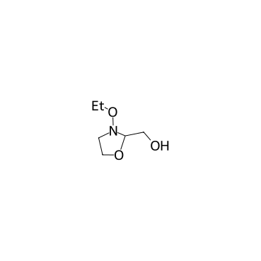 CCON1CCOC1CO